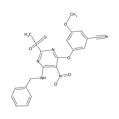 COc1cc(C#N)cc(Oc2nc(S(C)(=O)=O)nc(NCc3ccccc3)c2[N+](=O)[O-])c1